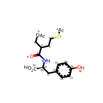 CC(=O)OCC(CCSC(C)=O)C(=O)N[C@@H](Cc1ccc(O)cc1)C(=O)O